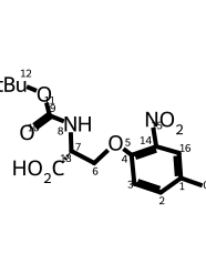 Cc1ccc(OC[C@@H](NC(=O)OC(C)(C)C)C(=O)O)c([N+](=O)[O-])c1